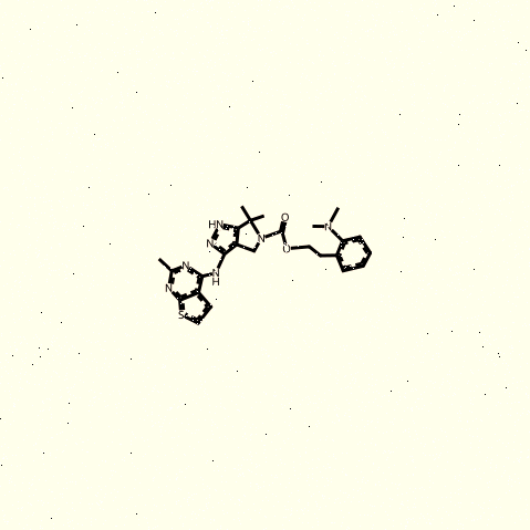 Cc1nc(Nc2n[nH]c3c2CN(C(=O)OCCc2ccccc2N(C)C)C3(C)C)c2ccsc2n1